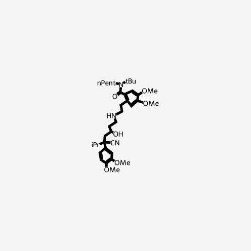 CCCCCN(C(=O)c1cc(OC)c(OC)cc1CCNCCC(O)CC(C#N)(c1ccc(OC)c(OC)c1)C(C)C)C(C)(C)C